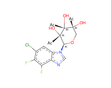 CC(=O)[C@@]1(O)[C@@](O)(C(C)=O)CO[C@@H](n2cnc3c(F)c(F)c(Cl)cc32)[C@@]1(O)C(C)=O